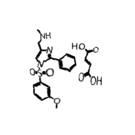 CNCc1cn(S(=O)(=O)c2cccc(OC)c2)c(-c2ccccc2)n1.O=C(O)C=CC(=O)O